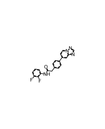 O=C(Cc1ccc(-c2ccn3ncnc3c2)cc1)Nc1cccc(F)c1F